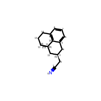 N#CC[C@@H]1Cc2cccc3c2[C@H](CCC3)C1